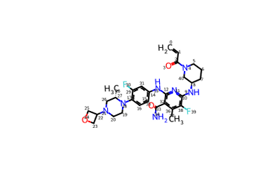 C=CC(=O)N1CCC[C@@H](Nc2nc(Nc3ccc(N4CCN(C5COC5)C[C@@H]4C)c(F)c3)c(C(N)=O)c(C)c2F)C1